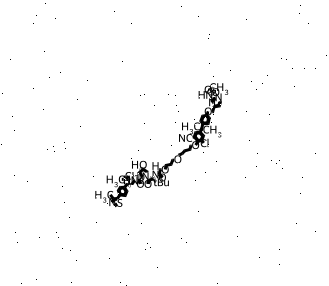 Cc1ncsc1-c1ccc([C@H](CNC(=O)[C@H]2C[C@@H](O)CN2C(=O)[C@@H](NC(=O)COCCCOCCCCCOc2c(Cl)cc(C(C)(C)c3ccc(OCc4ccnc(NS(C)(=O)=O)n4)cc3)cc2C#N)C(C)(C)C)N(C)C)cc1